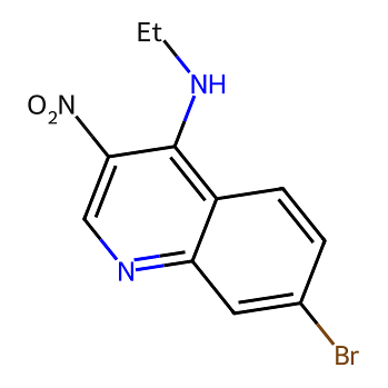 CCNc1c([N+](=O)[O-])cnc2cc(Br)ccc12